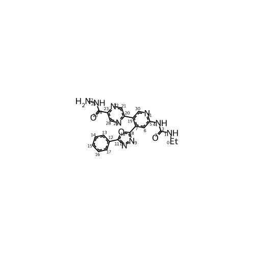 CCNC(=O)Nc1cc(-c2nnc(-c3ccccc3)o2)c(-c2cnc(C(=O)NN)cn2)cn1